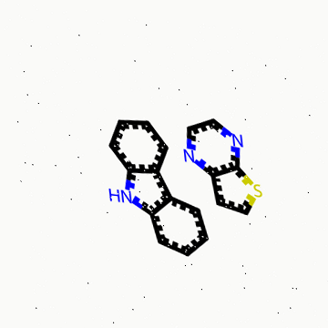 c1ccc2c(c1)[nH]c1ccccc12.c1cnc2sccc2n1